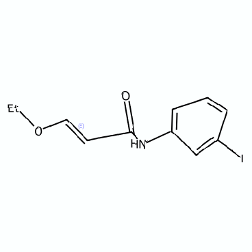 CCO/C=C/C(=O)Nc1cccc(I)c1